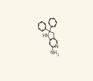 Nc1cc2c(cn1)CC(c1ccccc1)(c1ccccc1)N2